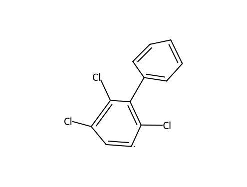 Clc1[c]cc(Cl)c(Cl)c1-c1ccccc1